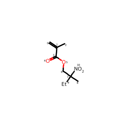 C=C(C)C(=O)OCC(C)(CC)[N+](=O)[O-]